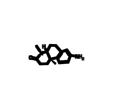 CN1C(=O)CC[C@]2(C)c3ccc(N)cc3CC[C@@H]12